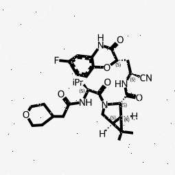 CC(C)[C@H](NC(=O)CC1CCOCC1)C(=O)N1C[C@H]2[C@@H]([C@H]1C(=O)N[C@H](C#N)C[C@@H]1Oc3ccc(F)cc3NC1=O)C2(C)C